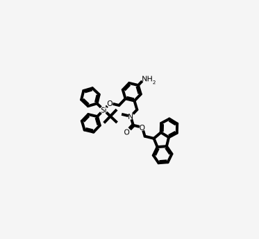 CN(Cc1cc(N)ccc1CO[Si](c1ccccc1)(c1ccccc1)C(C)(C)C)C(=O)OCC1c2ccccc2-c2ccccc21